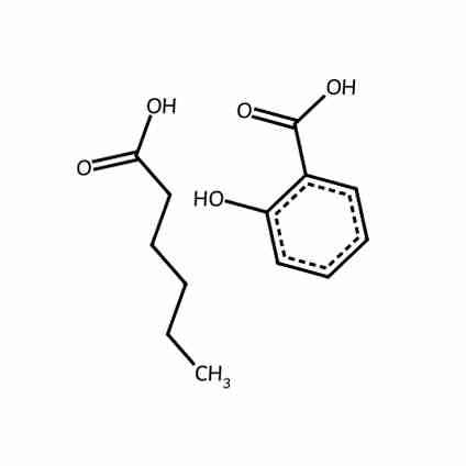 CCCCCC(=O)O.O=C(O)c1ccccc1O